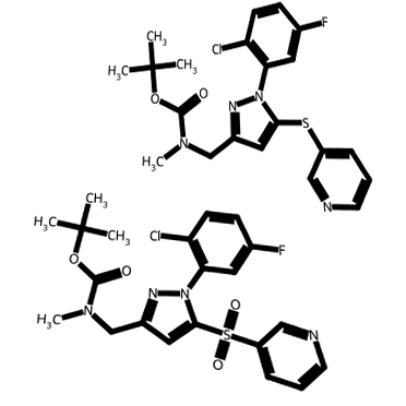 CN(Cc1cc(S(=O)(=O)c2cccnc2)n(-c2cc(F)ccc2Cl)n1)C(=O)OC(C)(C)C.CN(Cc1cc(Sc2cccnc2)n(-c2cc(F)ccc2Cl)n1)C(=O)OC(C)(C)C